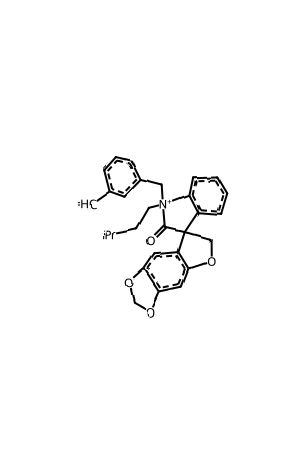 [CH]c1cccc(C[N+]2(CCC(C)C)C(=O)C3(COc4cc5c(cc43)OCO5)c3ccccc32)c1